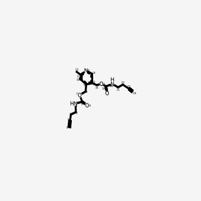 C#CCCNC(=O)OCc1[c]c(C)ncc1COC(=O)NCCC#C